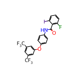 O=C(Nc1ccc(Oc2cc(C(F)(F)F)cc(C(F)(F)F)c2)cc1)c1c(F)cccc1I